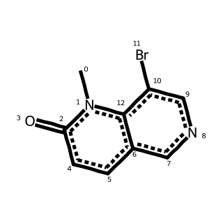 Cn1c(=O)ccc2cncc(Br)c21